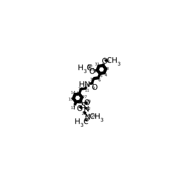 COc1ccc(C=CC(=O)NCCc2ccc(I)c(S(=O)(=O)N=CN(C)C)c2)c(OC)c1